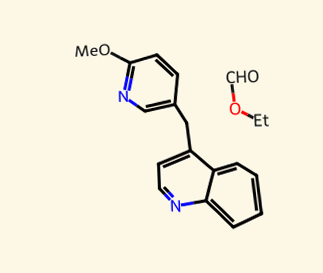 CCOC=O.COc1ccc(Cc2ccnc3ccccc23)cn1